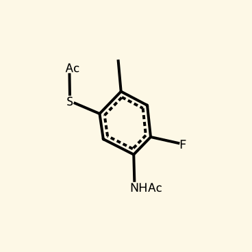 CC(=O)Nc1cc(SC(C)=O)c(C)cc1F